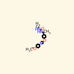 CCNC(=O)N[C@@H](C)c1ccc(OC2CN(c3ccc(OCC)cc3)C2)cc1